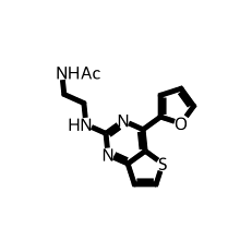 CC(=O)NCCNc1nc(-c2ccco2)c2sccc2n1